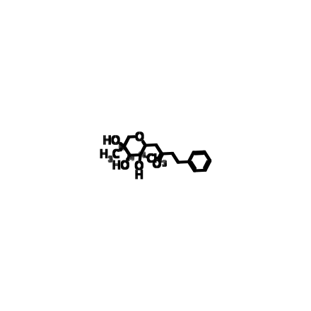 C[C@@]1(O)COC(CC(=O)CCc2ccccc2)[C@@](C)(O)[C@H]1O